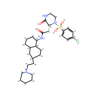 O=C(C[C@@H]1C(=O)NCCN1S(=O)(=O)c1ccc(Cl)cc1)NC1CCCC2CC(CCN3CCCCC3)CCC21